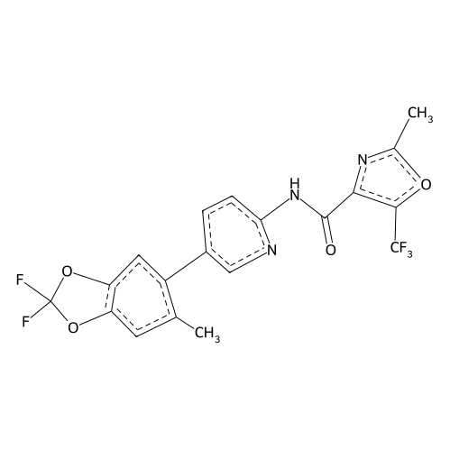 Cc1nc(C(=O)Nc2ccc(-c3cc4c(cc3C)OC(F)(F)O4)cn2)c(C(F)(F)F)o1